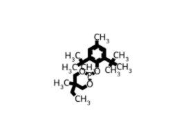 CCC1(C)COP(Oc2c(C(C)(C)C)cc(C)cc2C(C)(C)C)OC1